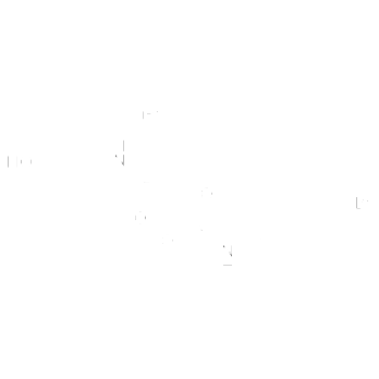 CC(C)CC(OC(=O)Nc1ccc(Br)cc1)C(=O)NCCO